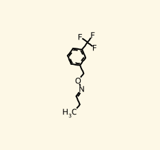 CCC=NOCc1cccc(C(F)(F)F)c1